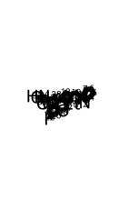 CCc1nc2ccccc2n1Cc1ccc2c(c1)COc1cc(F)ccc1/C2=C(/C)c1noc(=O)[nH]1